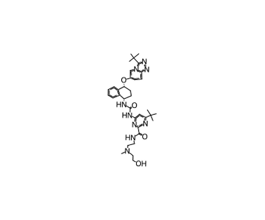 CN(CCO)CCNC(=O)c1nc(NC(=O)N[C@H]2CC[C@@H](Oc3ccc4nnc(C(C)(C)C)n4c3)c3ccccc32)cc(C(C)(C)C)n1